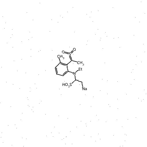 CCN(c1cccc(C)c1C(C)=S(=O)=O)C([CH2][Na])S(=O)(=O)O